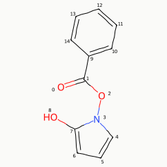 O=C(On1cccc1O)c1ccccc1